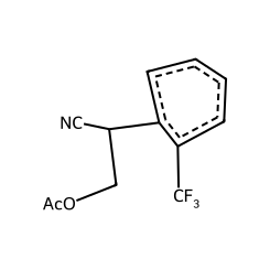 CC(=O)OCC(C#N)c1ccccc1C(F)(F)F